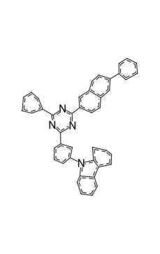 c1ccc(-c2ccc3cc(-c4nc(-c5ccccc5)nc(-c5cccc(-n6c7ccccc7c7ccccc76)c5)n4)ccc3c2)cc1